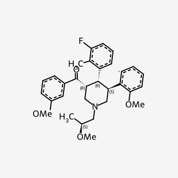 COc1cccc(C(=O)[C@H]2CN(C[C@H](C)OC)C[C@H](c3[c]cccc3OC)[C@H]2c2cccc(F)c2C)c1